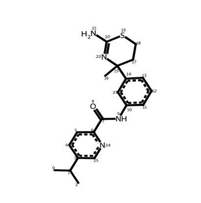 CC(C)c1ccc(C(=O)Nc2cccc(C3(C)CCSC(N)=N3)c2)nc1